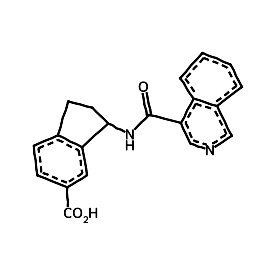 O=C(O)c1ccc2c(c1)C(NC(=O)c1cncc3ccccc13)CC2